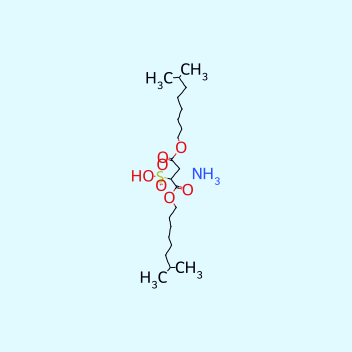 CC(C)CCCCCCOC(=O)CC(C(=O)OCCCCCCC(C)C)S(=O)(=O)O.N